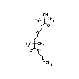 COCCNC(=O)C(C)(C)CCOCCC(=O)C(C)(C)C